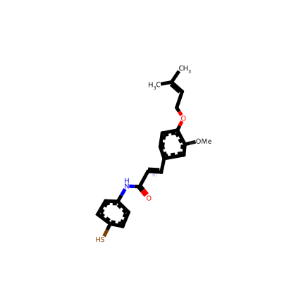 COc1cc(/C=C/C(=O)Nc2ccc(S)cc2)ccc1OCC=C(C)C